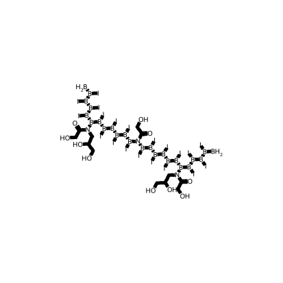 BB(I)B(I)B(I)B(I)B(B(I)B(I)B(I)B(I)B(I)B(I)N(B(I)B(I)B(I)B(I)B(I)B(I)B(B(I)B(I)B(I)B(B)I)N(CC(O)CO)C(=O)CO)C(=O)CO)N(CC(O)CO)C(=O)CO